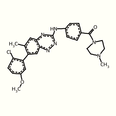 COc1ccc(Cl)c(-c2cc3nnc(Nc4ccc(C(=O)N5CCN(C)CC5)cc4)nc3cc2C)c1